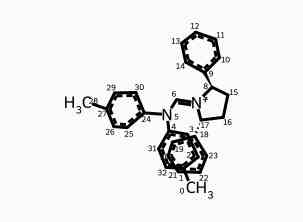 Cc1ccc(N(C=[N+]2[C@@H](c3ccccc3)CC[C@@H]2c2ccccc2)c2ccc(C)cc2)cc1